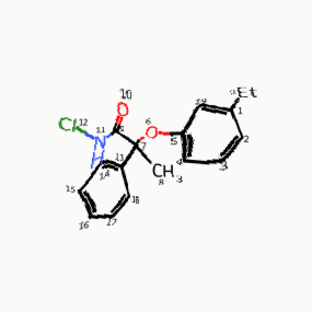 CCc1cccc(OC(C)(C(=O)NCl)c2ccccc2)c1